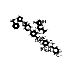 CC(C)c1ccccc1[C@H]1CCCC1N1CC2(CCN(c3ccc(C(=O)NS(=O)(=O)c4cc5c(c([N+](=O)[O-])c4)N[C@@H]([C@H]4CC[C@](C)(O)CC4)CO5)c(Oc4cc5c(F)c[nH]c5nc4C(C)C)c3)CC2)C1